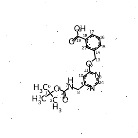 CC(C)(C)OC(=O)NCc1cc(OCc2cccc(C(=O)O)c2)ncn1